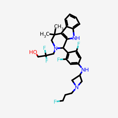 CC1(C)CN(CC(F)(F)CO)C(c2c(F)cc(NC3CN(CCCF)C3)cc2F)c2[nH]c3ccccc3c21